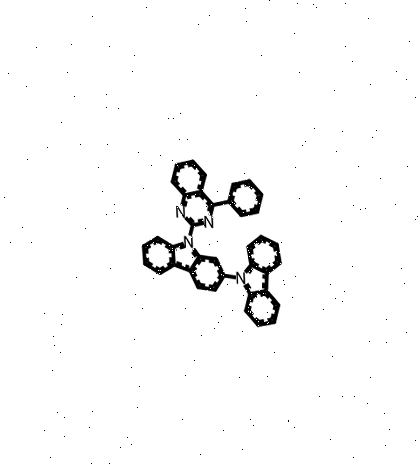 c1ccc(-c2nc(-n3c4ccccc4c4ccc(-n5c6ccccc6c6ccccc65)cc43)nc3ccccc23)cc1